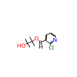 CC(C)(O)C(C)(C)OBc1cccnc1Cl